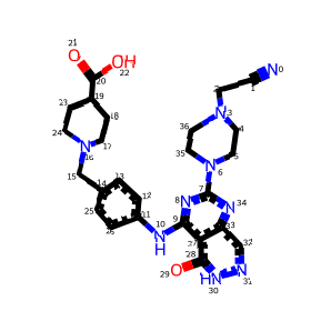 N#CCN1CCN(c2nc(Nc3ccc(CN4CCC(C(=O)O)CC4)cc3)c3c(=O)[nH]ncc3n2)CC1